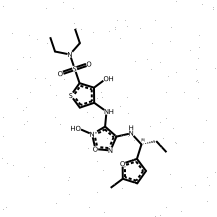 CC[C@@H](Nc1no[n+](O)c1Nc1csc(S(=O)(=O)N(CC)CC)c1O)c1ccc(C)o1